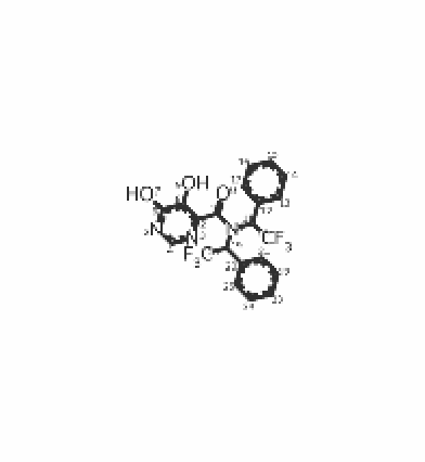 O=C(c1ncnc(O)c1O)N(C(c1ccccc1)C(F)(F)F)C(c1ccccc1)C(F)(F)F